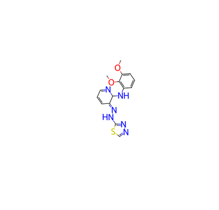 COc1cccc(NC2N=CC=CC2=NNc2nncs2)c1OC